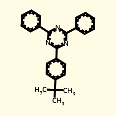 CC(C)(C)c1ccc(-c2nc(-c3ccccc3)nc(-c3ccccc3)n2)cc1